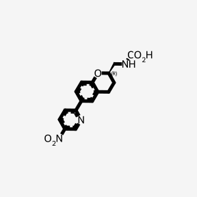 O=C(O)NC[C@H]1CCc2cc(-c3ccc([N+](=O)[O-])cn3)ccc2O1